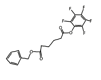 O=C(CCCCC(=O)Oc1c(F)c(F)c(F)c(F)c1F)OCc1ccccc1